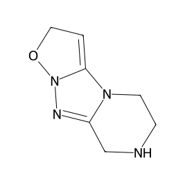 C1=C2N(N=C3CNCCN23)OC1